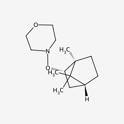 CC1(C)[C@@H]2CC[C@]1(C)[C@@H](ON1CCOCC1)C2